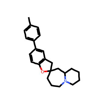 Cc1ccc(-c2ccc3c(c2)CC2(CCCN4CCCCC4C2)O3)cc1